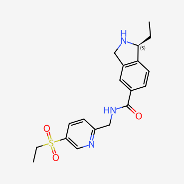 CC[C@@H]1NCc2cc(C(=O)NCc3ccc(S(=O)(=O)CC)cn3)ccc21